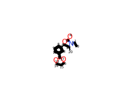 CCN1C(=O)O[C@H](c2cccc(C3OCCCO3)c2)[C@@H]1C